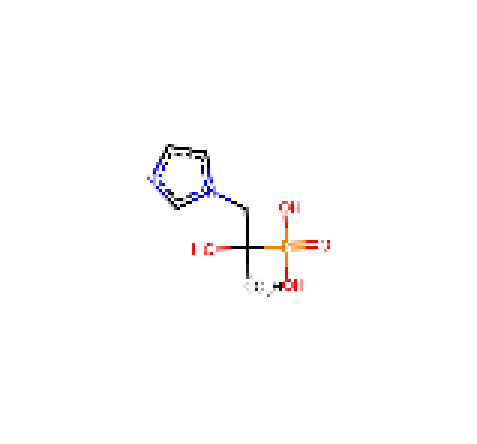 O=C(O)C(O)(Cn1ccnc1)P(=O)(O)O